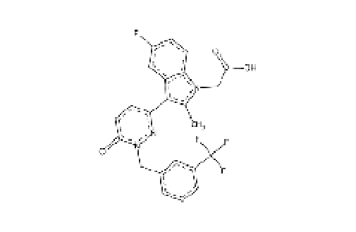 Cc1c(-c2ccc(=O)n(Cc3cccc(C(F)(F)F)c3)n2)c2cc(F)ccc2n1CC(=O)O